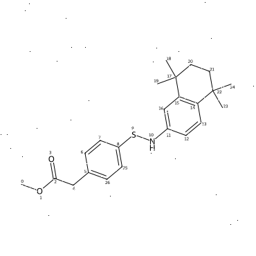 COC(=O)Cc1ccc(SNc2ccc3c(c2)C(C)(C)CCC3(C)C)cc1